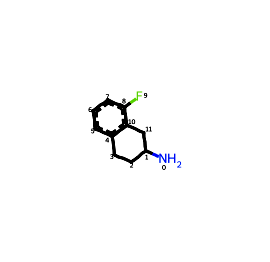 NC1CCc2cccc(F)c2C1